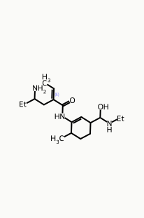 C/C=C(\CC(N)CC)C(=O)NC1=CC(C(O)NCC)CCC1C